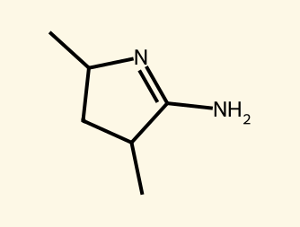 CC1CC(C)C(N)=N1